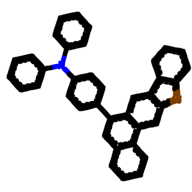 c1ccc(N(c2ccccc2)c2ccc(-c3cc4ccccc4c4cc5sc6ccccc6c5cc34)cc2)cc1